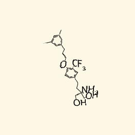 Cc1cc(C)cc(CCCOc2ccc(CCC(N)(CO)CO)cc2C(F)(F)F)c1